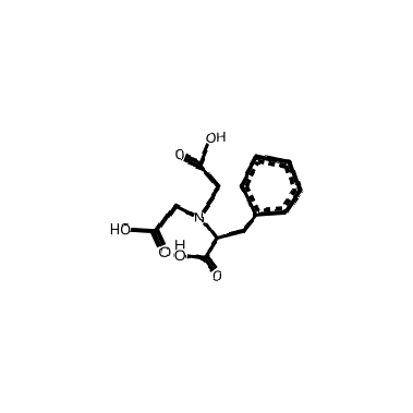 O=C(O)CN(CC(=O)O)C(Cc1ccccc1)C(=O)O